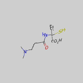 CCC(S)(NC(=O)CCN(C)C)C(=O)O